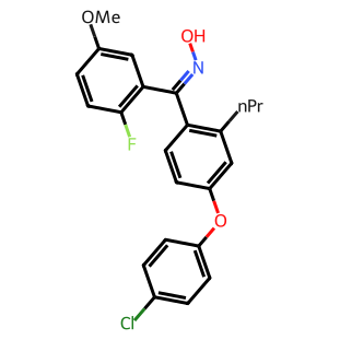 CCCc1cc(Oc2ccc(Cl)cc2)ccc1C(=NO)c1cc(OC)ccc1F